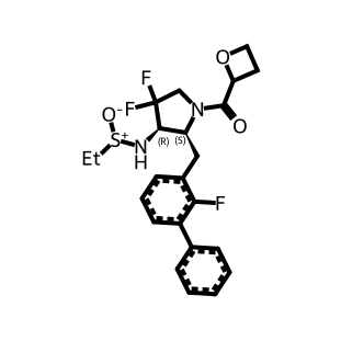 CC[S+]([O-])N[C@@H]1[C@H](Cc2cccc(-c3ccccc3)c2F)N(C(=O)C2CCO2)CC1(F)F